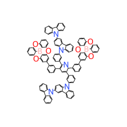 c1cc(-c2cc3c4c(c2)Oc2cccc5c2B4c2c(cccc2O3)O5)cc(-c2cc(-c3cccc(-n4c5ccccc5c5cc(-n6c7ccccc7c7ccccc76)ccc54)c3)c(-c3cccc(-c4cc5c6c(c4)Oc4cccc7c4B6c4c(cccc4O5)O7)c3)nc2-c2cccc(-n3c4ccccc4c4cc(-n5c6ccccc6c6ccccc65)ccc43)c2)c1